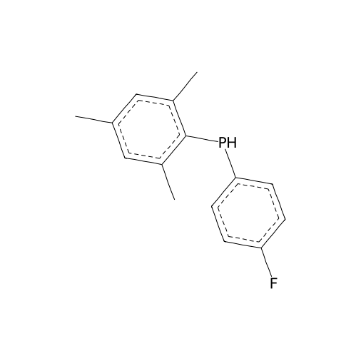 Cc1cc(C)c(Pc2ccc(F)cc2)c(C)c1